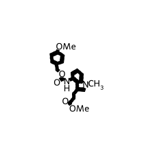 COC(=O)CCc1cn(C)c2cccc(NC(=O)OCc3ccc(OC)cc3)c12